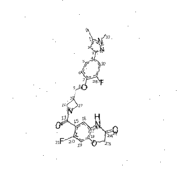 Cc1cc(-c2ccc(OCC3CN(C(=O)c4cc5c(cc4F)OCC(=O)N5)C3)c(F)c2)nn1C